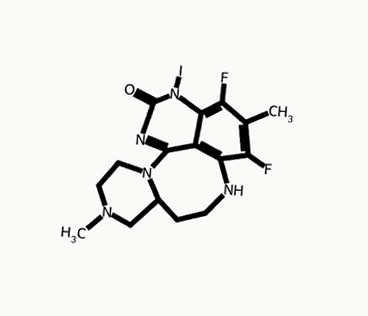 Cc1c(F)c2c3c(nc(=O)n(I)c3c1F)N1CCN(C)CC1CCN2